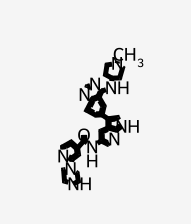 CN1CCC(Nc2ncnc3ccc(-c4c[nH]c5ncc(NC(=O)c6ccnc(N7CCNCC7)c6)cc45)cc23)CC1